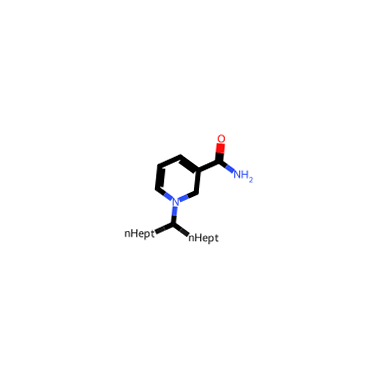 CCCCCCCC(CCCCCCC)N1C=CC=C(C(N)=O)C1